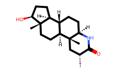 C[C@]12C[C@@H](I)C(=O)N[C@@H]1CC[C@@H]1[C@@H]2CC[C@]2(C)[C@@H](O)CC[C@@H]12